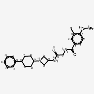 CCCNc1ccc(C(=O)NCC(=O)NC2CN(C3CCC(c4ccccc4)CC3)C2)cc1C